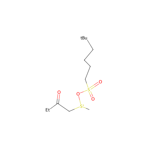 CCC(=O)C[S+](C)OS(=O)(=O)CCCCC(C)(C)C